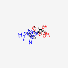 NC1=NC(=O)N([C@H]2CC(O)[C@@H](CO)O2)CN1